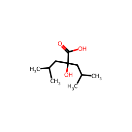 CC(C)CC(O)(CC(C)C)C(=O)O